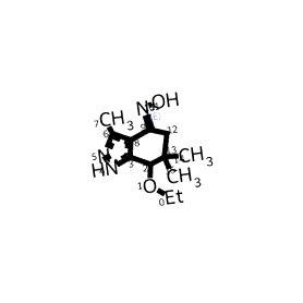 CCOC1c2[nH]nc(C)c2/C(=N/O)CC1(C)C